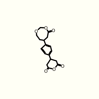 O=C1CC(c2ccc(C3CC(=O)OC(=O)C3)cc2)CCOCO1